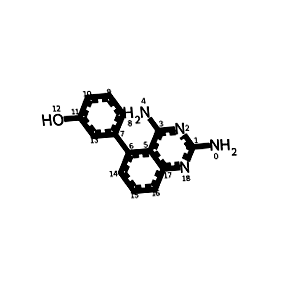 Nc1nc(N)c2c(-c3cccc(O)c3)cccc2n1